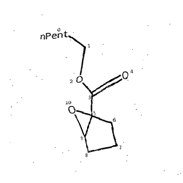 CCCCCCOC(=O)C12CCCC1O2